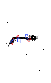 C=CC(=O)N1CCN(c2ccc(CCC(=O)NCCCCCCNC(=O)OC[C@@H]3[C@@H]4CC/C(C)=C\CC[C@@H]43)o2)C(=O)C1